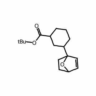 CC(C)(C)OC(=O)C1CCCC(C23C=CC(CC2)O3)C1